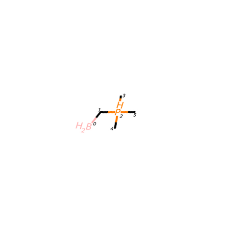 BC[PH](C)(C)C